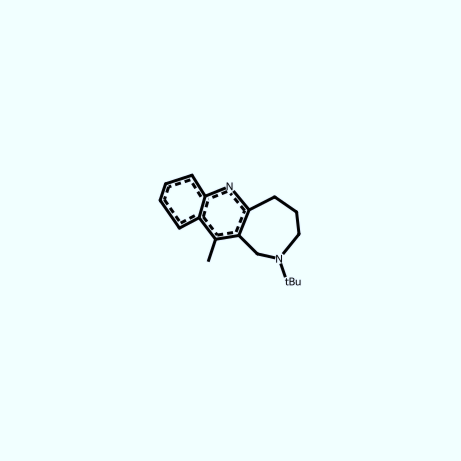 Cc1c2c(nc3ccccc13)CCCN(C(C)(C)C)C2